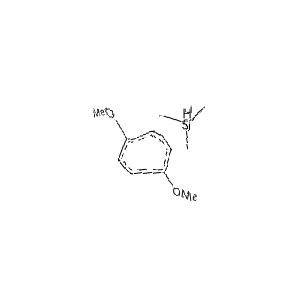 COc1ccc(OC)cc1.C[SiH](C)C